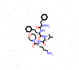 CC(C)C[C@@H](NC(=O)[C@@H](CCc1ccccc1)NC(=O)[C@H](N)Cc1ccccc1)C(=O)N[C@H](CCCCN)C(=O)N1CCCOCC1